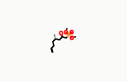 C=CCC[C@H](C)CC(=O)CP(=O)(OC)OC